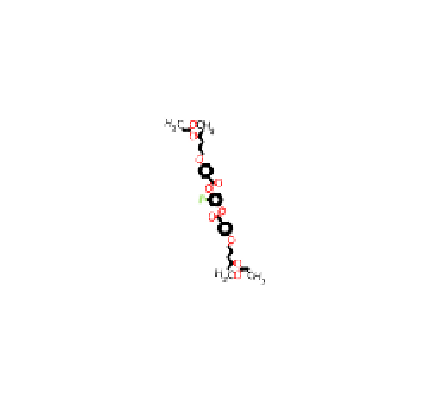 C=CC(=O)OC(CC)CCCOc1ccc(C(=O)Oc2ccc(OC(=O)c3ccc(OCCCC(CC)OC(=O)C=C)cc3)c(F)c2)cc1